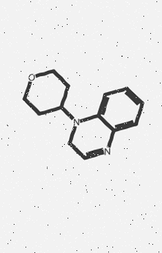 C1=Nc2ccccc2N(C2CCOCC2)C1